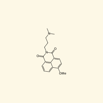 COc1ccc2c3c(cccc13)C(=O)N(CCCN(C)C)C2=O